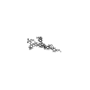 C=C(CCC1=C(CN2CCN(c3ccc(C(=O)NS(=O)(=O)c4ccc(NC[C@H]5CC[C@@H](C)CC5)c([N+](=O)[O-])c4)c(Oc4cnc5[nH]ccc5c4)c3)CC2)CCC2(CCC2)C1)C(F)F